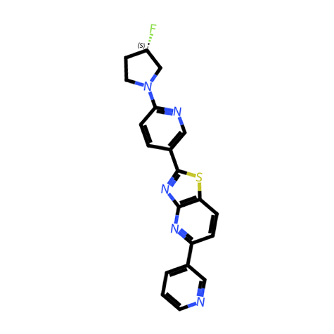 F[C@H]1CCN(c2ccc(-c3nc4nc(-c5cccnc5)ccc4s3)cn2)C1